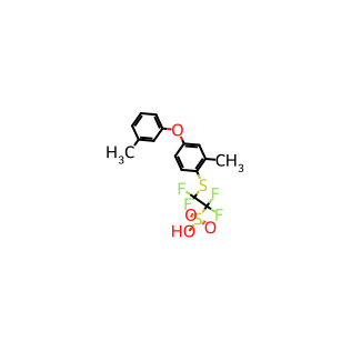 Cc1cccc(Oc2ccc(SC(F)(F)C(F)(F)S(=O)(=O)O)c(C)c2)c1